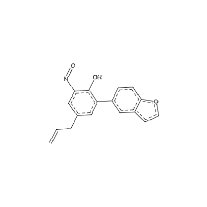 C=CCc1cc(N=O)c(O)c(-c2ccc3occc3c2)c1